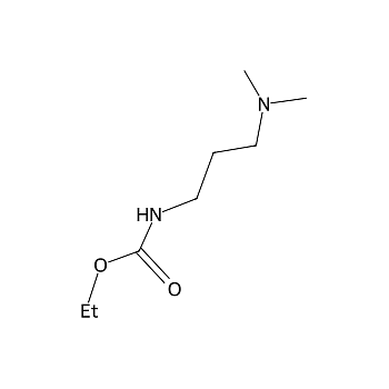 CCOC(=O)NCCCN(C)C